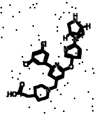 O=C(O)CC1CCN(Cc2cc(Oc3ccc(N4C[C@@H]5C[C@H]4CN5)nc3)nc(-c3cc(Cl)cc(Cl)c3)c2)CC1